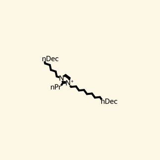 CCCCCCCCCCCCCCCCCC[n+]1ccn(CCCCCCCCCCCCCCC)c1CCC